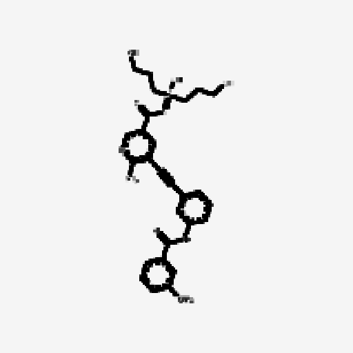 COc1cccc(C(=O)Nc2cccc(C#Cc3cc(C(=O)N=[SH](O)(CCCO)CCCO)cnc3N)c2)c1